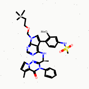 COc1cc(NS(C)(=O)=O)ccc1-c1cn(COCC[Si](C)(C)C)c2ncnc(N[C@@H](C)c3nn4ccc(C)c4c(=O)n3-c3ccccc3)c12